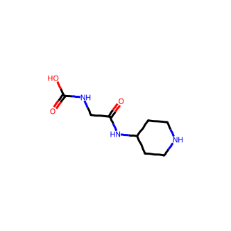 O=C(O)NCC(=O)NC1CCNCC1